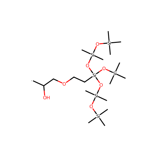 [CH2]C(O)COCC[Si](O[Si](C)(C)C)(O[Si](C)(C)O[Si](C)(C)C)O[Si](C)(C)O[Si](C)(C)C